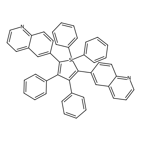 c1ccc(C2=C(c3ccc4ncccc4c3)[Si](c3ccccc3)(c3ccccc3)C(c3ccc4ncccc4c3)=C2c2ccccc2)cc1